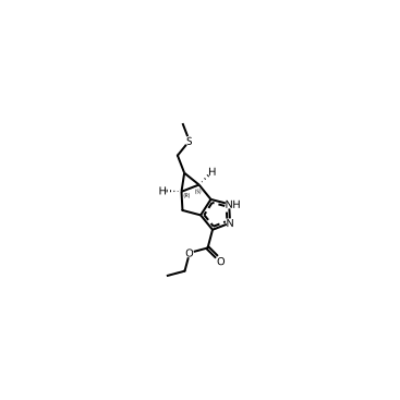 CCOC(=O)c1n[nH]c2c1C[C@H]1C(CSC)[C@@H]21